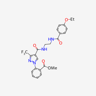 CCOc1ccc(C(=O)NCCNC(=O)c2cn(-c3ccccc3C(=O)OC)nc2C(F)(F)F)cc1